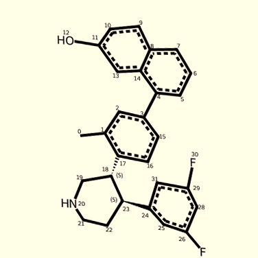 Cc1cc(-c2cccc3ccc(O)cc23)ccc1[C@H]1CNCC[C@@H]1c1cc(F)cc(F)c1